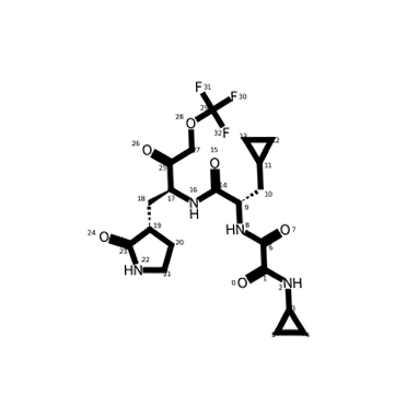 O=C(NC1CC1)C(=O)N[C@@H](CC1CC1)C(=O)N[C@@H](C[C@@H]1CCNC1=O)C(=O)COC(F)(F)F